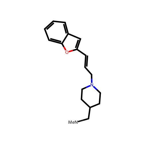 CNCC1CCN(CC=Cc2cc3ccccc3o2)CC1